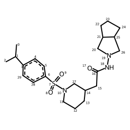 CC(C)c1ccc(S(=O)(=O)N2CCCC(CC(=O)NN3CC4CCCC4C3)C2)cc1